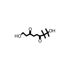 CC(C)(O)C(C)(C)C(=O)CCC(=O)CCO